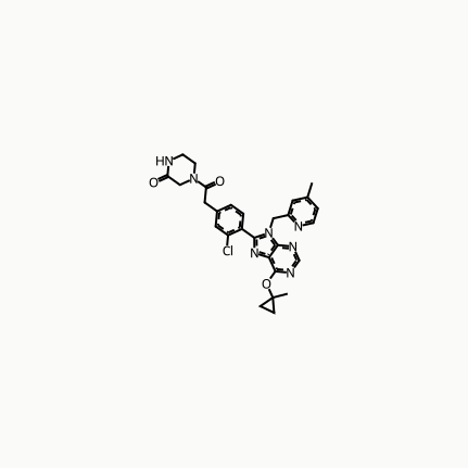 Cc1ccnc(Cn2c(-c3ccc(CC(=O)N4CCNC(=O)C4)cc3Cl)nc3c(OC4(C)CC4)ncnc32)c1